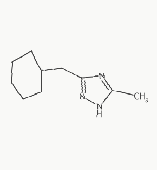 Cc1nc(CC2CCCCC2)n[nH]1